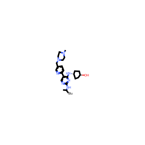 CCC(C)C(C)Nc1ncc(-c2ccc(CN3CCN(C)CC3)cn2)c(N[C@H]2CC[C@H](O)CC2)n1